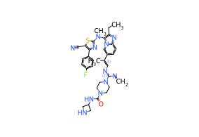 C=N/C(=N\C=C(/C)c1ccc2nc(CC)c(N(C)c3nc(-c4ccc(F)cc4)c(C#N)s3)n2c1)N1CCN(C(=O)NC2CNC2)CC1